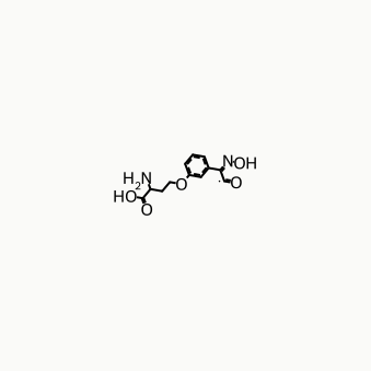 NC(CCOc1cccc(/C([C]=O)=N/O)c1)C(=O)O